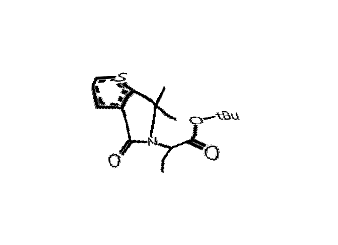 CC(C(=O)OC(C)(C)C)N1C(=O)c2ccsc2C1(C)C